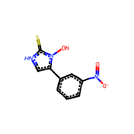 O=[N+]([O-])c1cccc(-c2c[nH]c(=S)n2O)c1